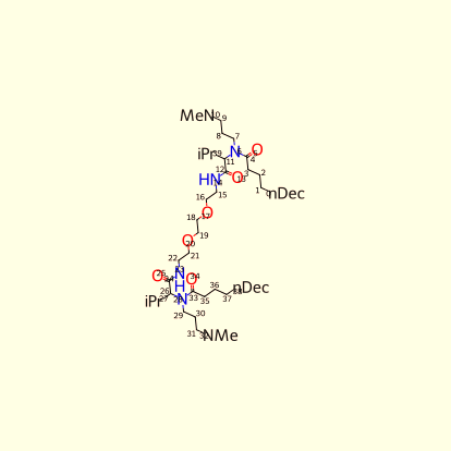 CCCCCCCCCCCCCC(=O)N(CCCNC)C(C(=O)NCCOCCOCCNC(=O)C(C(C)C)N(CCCNC)C(=O)CCCCCCCCCCCCC)C(C)C